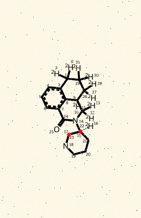 [2H]C1([2H])c2cccc3c2[C@@]([2H])(C([2H])([2H])N([C@]2([2H])CN4CCC2CC4)C3=O)C([2H])([2H])C1([2H])[2H]